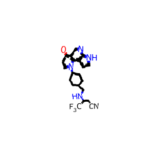 N#CCC(NCC1CCC(n2ccc(=O)c3cnc4[nH]ccc4c32)CC1)C(F)(F)F